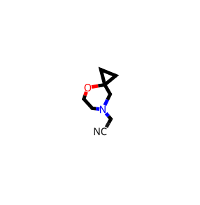 N#CCN1CCOC2(CC2)C1